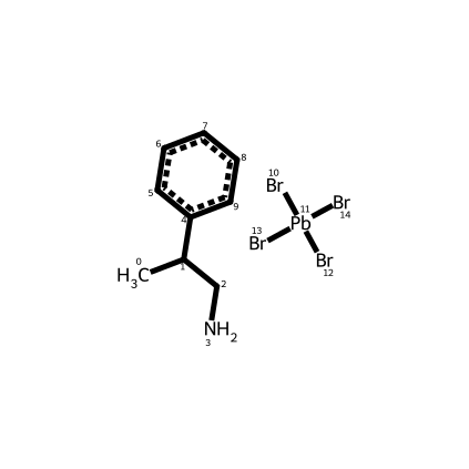 CC(CN)c1ccccc1.[Br][Pb]([Br])([Br])[Br]